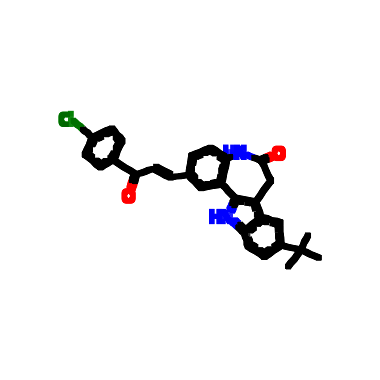 CC(C)(C)c1ccc2[nH]c3c(c2c1)CC(=O)Nc1ccc(C=CC(=O)c2ccc(Cl)cc2)cc1-3